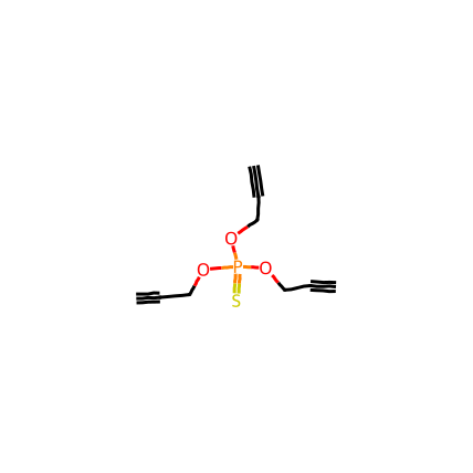 C#CCOP(=S)(OCC#C)OCC#C